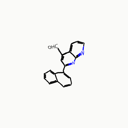 O=Cc1cc(-c2cccc3ccccc23)nc2ncccc12